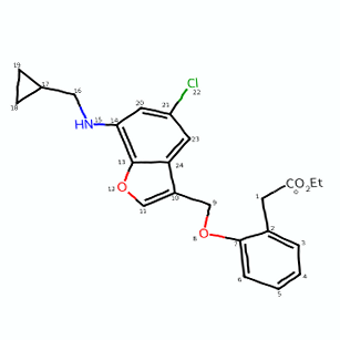 CCOC(=O)Cc1ccccc1OCc1coc2c(NCC3CC3)cc(Cl)cc12